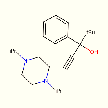 C#CC(O)(c1ccccc1)C(C)(C)C.CC(C)N1CCN(C(C)C)CC1